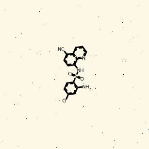 N#Cc1ccc(NS(=O)(=O)c2ccc(Cl)cc2N)c2ncccc12